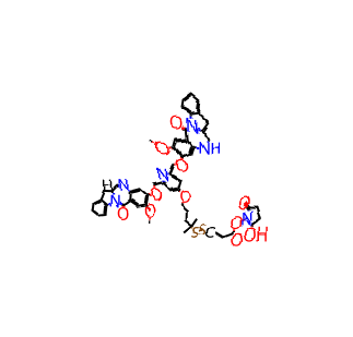 COc1cc2c(cc1OCc1cc(OCCCC(C)(C)SSCCCC(=O)ON3C(=O)CCC3O)cc(COc3cc4c(cc3OC)C(=O)N3c5ccccc5CC3CN4)n1)N=C[C@@H]1Cc3ccccc3N1C2=O